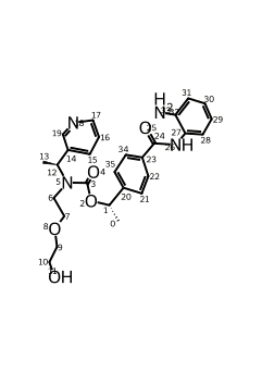 C[C@H](OC(=O)N(CCOCCO)[C@@H](C)c1cccnc1)c1ccc(C(=O)Nc2ccccc2N)cc1